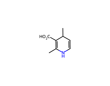 CC1=C(C(=O)O)C(C)C=CN1